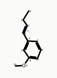 CC/C=C/c1cccc(OC)c1